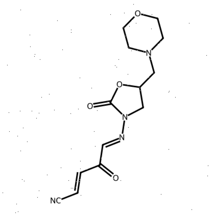 N#CC=CC(=O)C=NN1CC(CN2CCOCC2)OC1=O